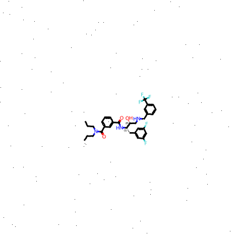 CCCN(CCC)C(=O)c1cccc(C(=O)N[C@@H](Cc2cc(F)cc(F)c2)[C@H](O)CNCc2cccc(C(F)(F)F)c2)c1